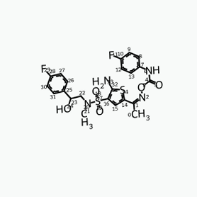 C/C(=N/OC(=O)Nc1ccc(F)cc1)c1cc(S(=O)(=O)N(C)CC(O)c2ccc(F)cc2)c(N)s1